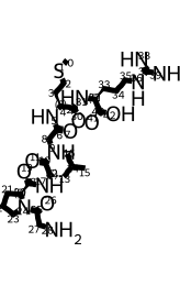 CSCC[C@H](NC(=O)CNC(=O)[C@H](CC(C)C)NC(=O)[C@@H]1CCCN1C(=O)CN)C(=O)N[C@@H](CCCNC(=N)N)C(=O)O